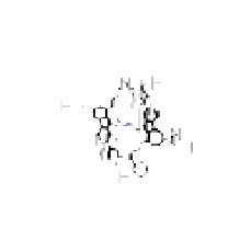 CCN(CC)CCCCc1cc(C)cc2c3cnc(-c4cc(C)nn4CC)nc3n(C/C=C/Cn3c4c(c5cnc(-c6cc(C)nn6CC)nc53)=CC(C(C)N)=CCC=4CCCCN3CCCCC3)c12